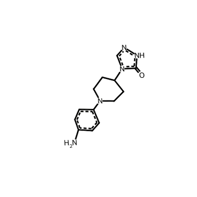 Nc1ccc(N2CCC(n3cn[nH]c3=O)CC2)cc1